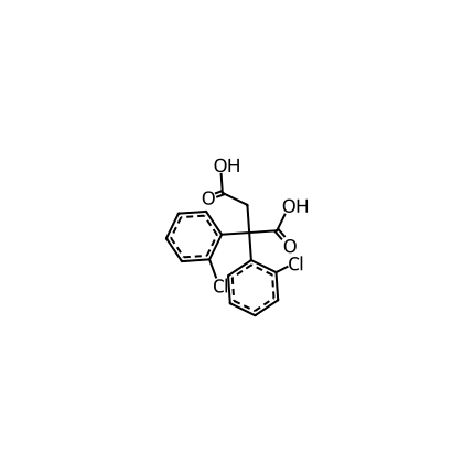 O=C(O)CC(C(=O)O)(c1ccccc1Cl)c1ccccc1Cl